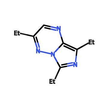 CCc1cnc2c(CC)nc(CC)n2n1